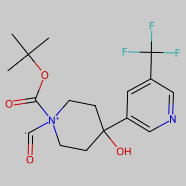 CC(C)(C)OC(=O)[N+]1([C]=O)CCC(O)(c2cncc(C(F)(F)F)c2)CC1